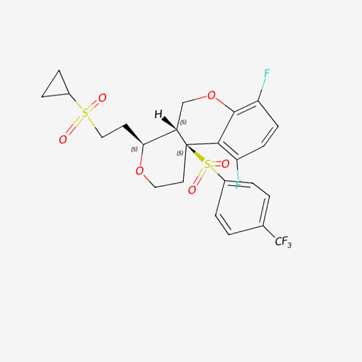 O=S(=O)(CC[C@@H]1OCC[C@@]2(S(=O)(=O)c3ccc(C(F)(F)F)cc3)c3c(F)ccc(F)c3OC[C@@H]12)C1CC1